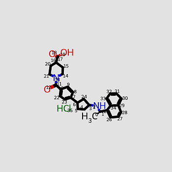 C[C@@H](NC1CCC(c2ccc(C(=O)N3CCC(C(=O)O)CC3)cc2)C1)c1cccc2ccccc12.Cl